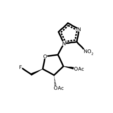 CC(=O)O[C@H]1[C@H](OC(C)=O)C(n2ccnc2[N+](=O)[O-])O[C@@H]1CF